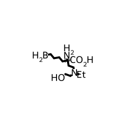 BCCCC[C@@](N)(CCN(CC)CCO)C(=O)O